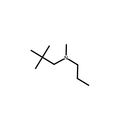 CCCN(C)CC(C)(C)C